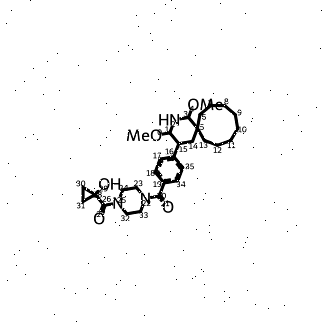 COC1NC(OC)C2(CCCCCCCC2)CC1c1ccc(C(=O)N2CCN(C(=O)C3(O)CC3)CC2)cc1